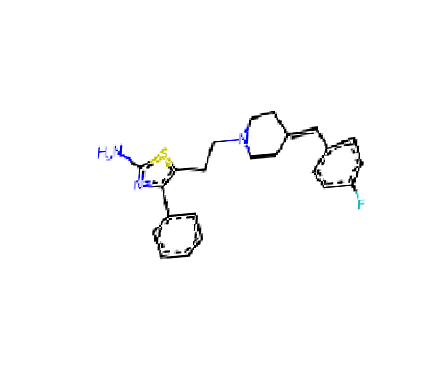 Nc1nc(-c2ccccc2)c(CCN2CCC(=Cc3ccc(F)cc3)CC2)s1